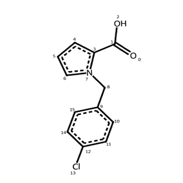 O=C(O)c1cccn1Cc1ccc(Cl)cc1